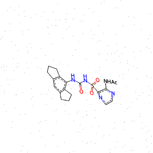 CC(=O)Nc1nccnc1S(=O)(=O)NC(=O)Nc1c2c(cc3c1CCC3)CCC2